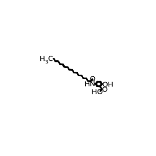 CCC=CCC=CCC=CCCCCCCCC(=O)Nc1ccc(O)c(C(=O)O)c1